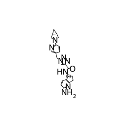 Nc1ccc2c(n1)CC[C@H]2NC(=O)c1cn(Cc2ccc(N3CC4CC4C3)nc2)nn1